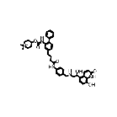 C[N+]1(C)CCC(OC(=O)Nc2cc(CCCC(=O)Nc3ccc(CNC[C@@H](O)c4ccc(O)c5[nH]c(=O)ccc45)cc3)ccc2-c2ccccc2)CC1